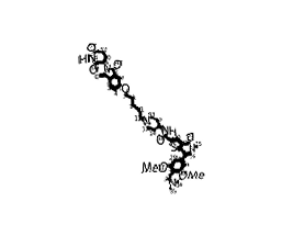 C=C1c2ccc(OCCCCCN3CCC(NC(=O)c4cc5c(=O)n(C)cc(-c6cc(OC)c(CN(C)C)c(OC)c6)c5s4)CC3)cc2C(=O)N1C1CCC(=O)NC1=O